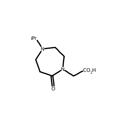 CC(C)N1CCC(=O)N(CC(=O)O)CC1